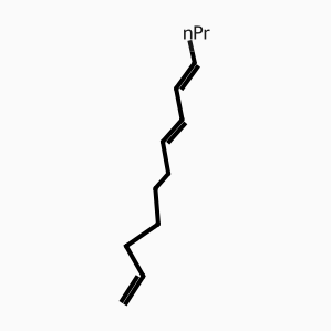 C=CCCCCC=CC=CCCC